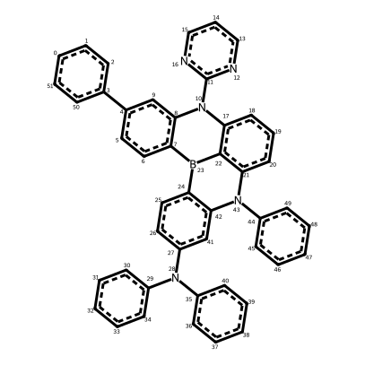 c1ccc(-c2ccc3c(c2)N(c2ncccn2)c2cccc4c2B3c2ccc(N(c3ccccc3)c3ccccc3)cc2N4c2ccccc2)cc1